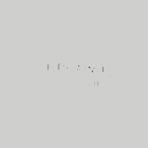 [AlH3].[Cu].[MgH2].[PbH2]